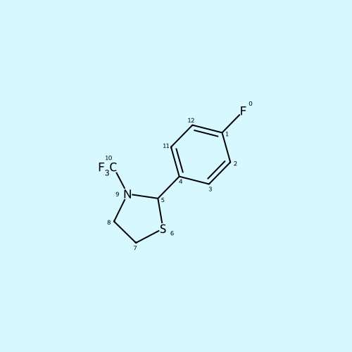 Fc1ccc(C2SCCN2C(F)(F)F)cc1